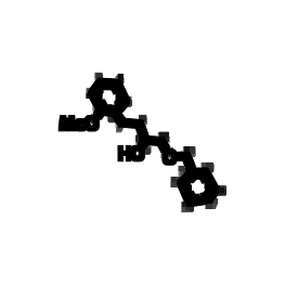 COc1ccccc1CCC(O)COCc1ccccc1